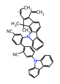 C=CC1=C(/C=C\C)C(C)(C)c2c1ccc1c3ccccc3n(-c3cc(C#N)ccc3-c3ccc(-n4c5ccccc5c5ccccc54)cc3C#N)c21